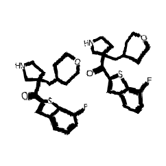 O=C(c1cc2cccc(F)c2s1)C1(CC2CCOCC2)CCNC1.O=C(c1cc2cccc(F)c2s1)C1(CC2CCOCC2)CCNC1